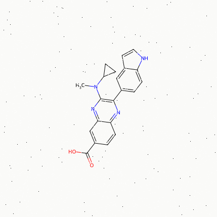 CN(c1nc2cc(C(=O)O)ccc2nc1-c1ccc2[nH]ccc2c1)C1CC1